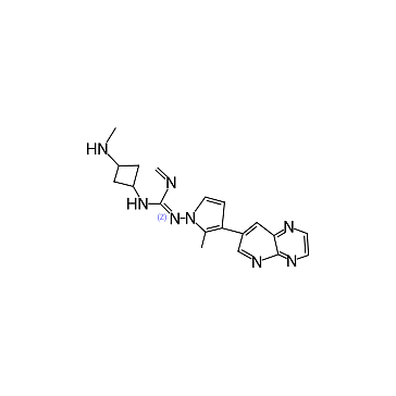 C=N/C(=N\n1ccc(-c2cnc3nccnc3c2)c1C)NC1CC(NC)C1